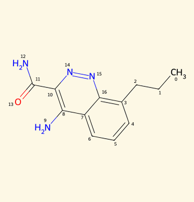 CCCc1cccc2c(N)c(C(N)=O)nnc12